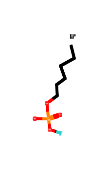 CCCCCCOP(=O)([O-])OF.[Li+]